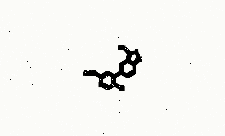 CC(=O)Nc1cc(-c2ccc3nsc(C(C)C)c3c2)c(Cl)cn1